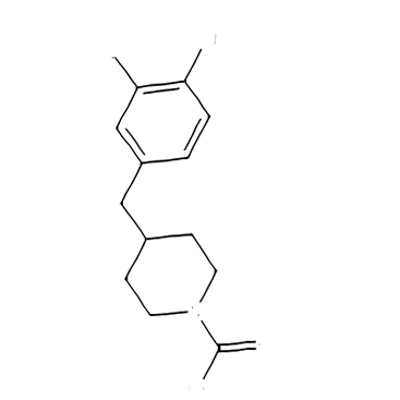 O=C(O)N1CCC(Cc2ccc(O)c(Cl)c2)CC1